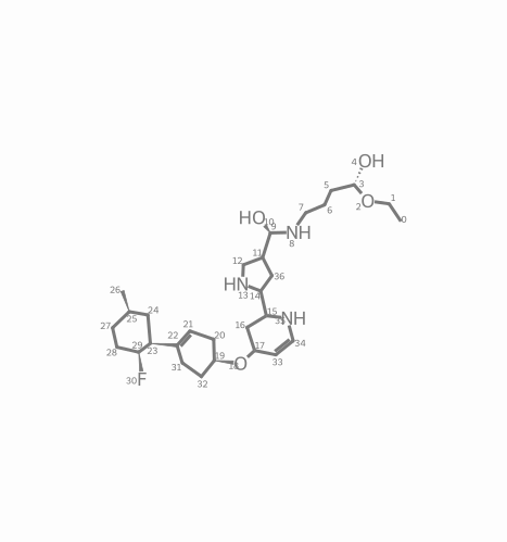 CCO[C@@H](O)CCCN[C@H](O)C1CNC(C2CC(O[C@@H]3CC=C([C@@H]4C[C@H](C)CC[C@@H]4F)CC3)C=CN2)C1